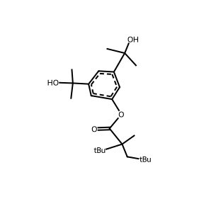 CC(C)(C)CC(C)(C(=O)Oc1cc(C(C)(C)O)cc(C(C)(C)O)c1)C(C)(C)C